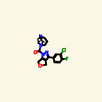 O=C(N1CCN2CCC1CC2)n1nc(-c2ccc(F)c(Cl)c2)c2c1COC2